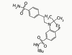 CCC(C)(C)N(CCc1ccc(S(N)(=O)=O)cc1)c1cc(S(=O)(=O)NC(C)(C)C)ccc1F